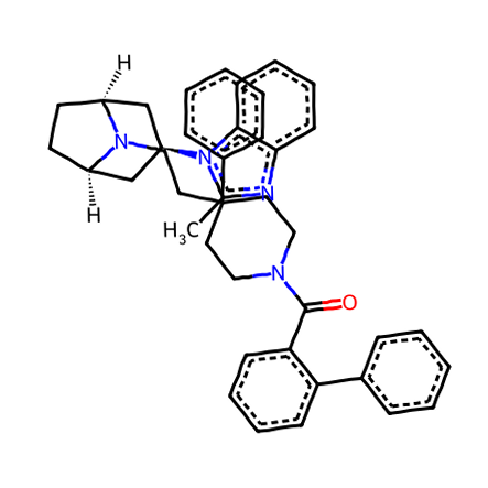 Cc1nc2ccccc2n1[C@H]1C[C@H]2CC[C@@H](C1)N2CCC1(c2ccccc2)CCN(C(=O)c2ccccc2-c2ccccc2)CC1